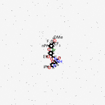 CCCc1cc(C(OCOC)(C(F)(F)F)C(F)(F)F)ccc1Oc1cc(OCC)c(C(=O)CN2C(=O)NC(C)(c3ccc(OC(C)C)cn3)C2=O)cc1Br